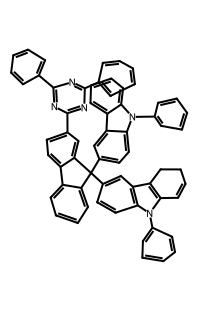 C1=Cc2c(c3cc(C4(c5ccc6c(c5)c5ccccc5n6-c5ccccc5)c5ccccc5-c5ccc(-c6nc(-c7ccccc7)nc(-c7ccccc7)n6)cc54)ccc3n2-c2ccccc2)CC1